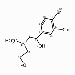 O=C(O)N(CCO)CC(O)c1ccc(Br)c(Cl)c1